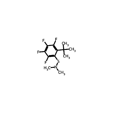 CN(C)Sc1c(F)c(F)c(F)c(F)c1C(C)(C)C